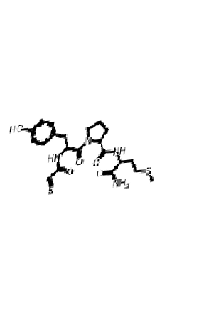 CSCC[C@H](NC(=O)[C@@H]1CCCN1C(=O)[C@H](Cc1ccc(O)cc1)NC(=O)C=S)C(N)=O